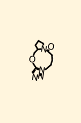 O=C1CCCCn2nncc2COCC2CCCN12